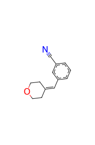 N#Cc1cccc(C=C2CCOCC2)c1